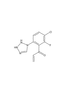 C=CC(=O)c1c(N2C=NNN2)ccc(Cl)c1F